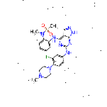 CN1CCN(c2ccc(Nc3nc(Nc4ccccc4N(C)S(C)(=O)=O)c4cn[nH]c4n3)cc2F)CC1